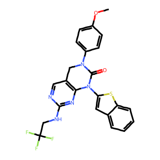 COc1ccc(N2Cc3cnc(NCC(F)(F)F)nc3N(c3cc4ccccc4s3)C2=O)cc1